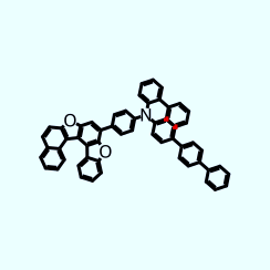 c1ccc(-c2ccc(-c3ccc(N(c4ccc(-c5cc6oc7ccc8ccccc8c7c6c6c5oc5ccccc56)cc4)c4ccccc4-c4ccccc4)cc3)cc2)cc1